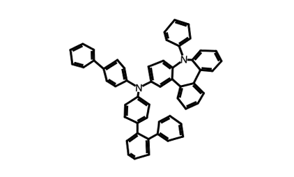 c1ccc(-c2ccc(N(c3ccc(-c4ccccc4-c4ccccc4)cc3)c3ccc4c(c3)-c3ccccc3-c3ccccc3N4c3ccccc3)cc2)cc1